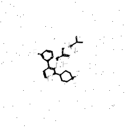 CC(C)c1ncc(C(=O)Nc2c(-c3cccc(F)c3)ccnc2C2CCC(F)(F)CC2)cn1